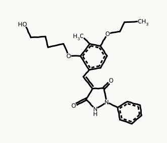 CCCOc1ccc(C=C2C(=O)NN(c3ccccc3)C2=O)c(OCCCCO)c1C